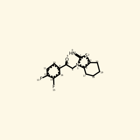 N=c1sc2c(n1CC(=O)c1ccc(F)c(F)c1)CCCC2